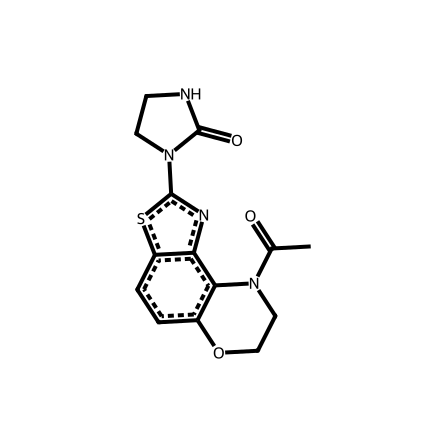 CC(=O)N1CCOc2ccc3sc(N4CCNC4=O)nc3c21